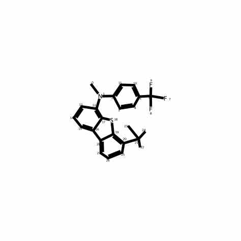 CN(c1ccc(C(F)(F)F)cc1)c1cccc2c1sc1c(C(C)(C)C)cccc12